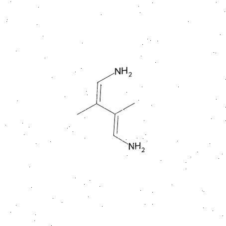 CC(=C/N)/C(C)=C/N